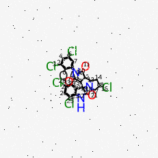 CC(=O)Oc1c(Cl)cc(Cl)cc1N1C(=O)C2C3C[C@H](Cl)CN3C3(C(=O)Nc4c(Cl)cc(Cl)cc43)C2C1=O